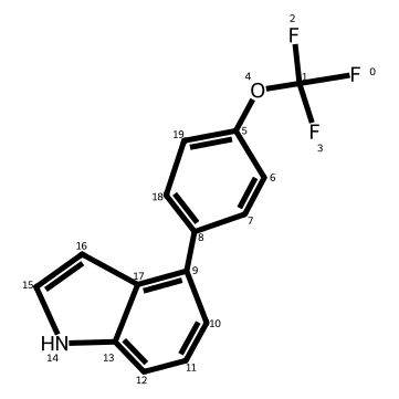 FC(F)(F)Oc1ccc(-c2cccc3[nH]ccc23)cc1